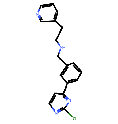 Clc1nccc(-c2cccc(CNCCc3cccnc3)c2)n1